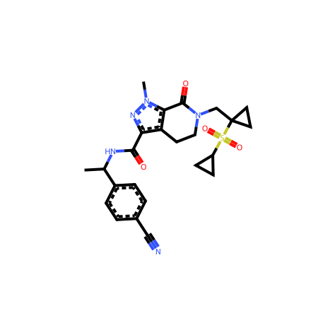 CC(NC(=O)c1nn(C)c2c1CCN(CC1(S(=O)(=O)C3CC3)CC1)C2=O)c1ccc(C#N)cc1